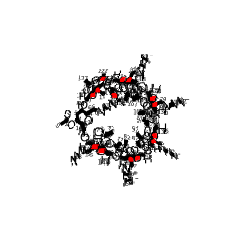 CC(=O)OC1C[C@@H]2O[C@H]3OC(CN=[N+]=[N-])[C@@H](O[C@H]4CC(CN=[N+]=[N-])[C@@H](O[C@H]5OC(CN=[N+]=[N-])[C@@H](O[C@@H]6OC(CN=[N+]=[N-])[C@@H](O[C@@H]7OC(CN=[N+]=[N-])[C@@H](O[C@@H]8OC(CN=[N+]=[N-])[C@@H](O[C@H]1OC2CN=[N+]=[N-])[C@H](OC(C)=O)C8OC(C)=O)[C@@H](OC(C)=O)C7OC(C)=O)[C@@H](OC(C)=O)C6OC(C)=O)[C@H](OC(C)=O)C5OC(C)=O)[C@H](OC(C)=O)C4OC(C)=O)[C@H](OC(C)=O)C3OC(C)=O